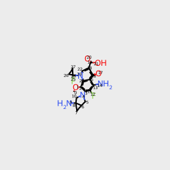 COc1c(N2CC3CC3(N)C2)c(F)c(N)c2c(=O)c(C(=O)O)cn(C3(F)CC3)c12